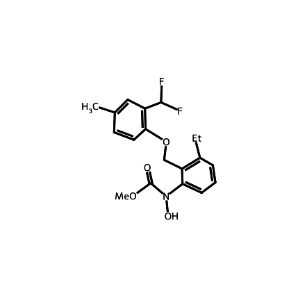 CCc1cccc(N(O)C(=O)OC)c1COc1ccc(C)cc1C(F)F